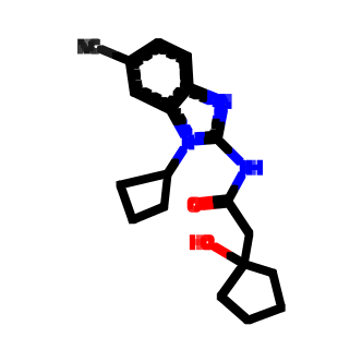 N#Cc1ccc2nc(NC(=O)CC3(O)CCCC3)n(C3CCC3)c2c1